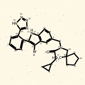 O=C(CC1CC1)N(Cc1ccc2[nH]c(-c3ccccc3-c3nnn[nH]3)c(Br)c2c1)CC1(C(=O)O)CCCC1